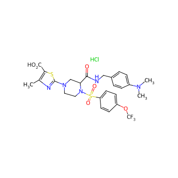 Cc1nc(N2CCN(S(=O)(=O)c3ccc(OC(F)(F)F)cc3)C(C(=O)NCc3ccc(N(C)C)cc3)C2)sc1C(=O)O.Cl